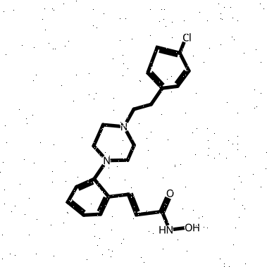 O=C(C=Cc1ccccc1N1CCN(CCc2ccc(Cl)cc2)CC1)NO